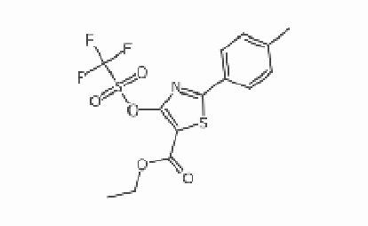 CCOC(=O)c1sc(-c2ccc(C)cc2)nc1OS(=O)(=O)C(F)(F)F